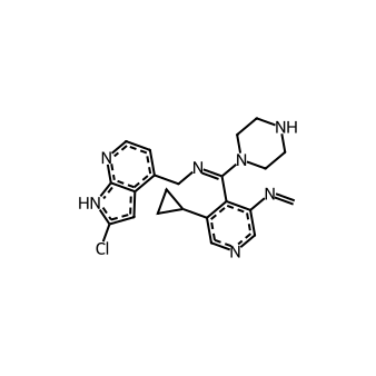 C=Nc1cncc(C2CC2)c1/C(=N\Cc1ccnc2[nH]c(Cl)cc12)N1CCNCC1